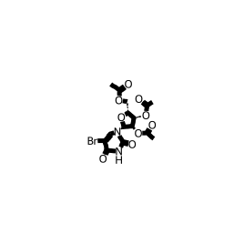 CC(=O)OC[C@H]1O[C@@H](n2cc(Br)c(=O)[nH]c2=O)[C@H](OC(C)=O)[C@H]1OC(C)=O